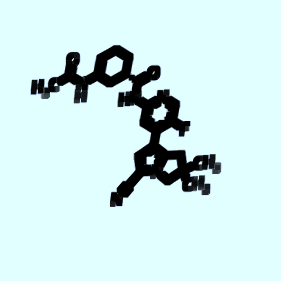 CC(=O)NC1=CCC[C@H](C(=O)Nc2cc(-c3cc(C#N)n4c3CC(C)(C)C4)c(F)cn2)C1